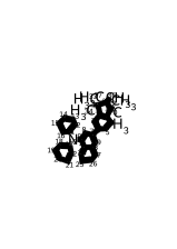 CC1(C)c2ccc(-c3cc(N(c4ccccc4)c4ccccc4)c4ccccc4c3)cc2C(C)(C)C1(C)C